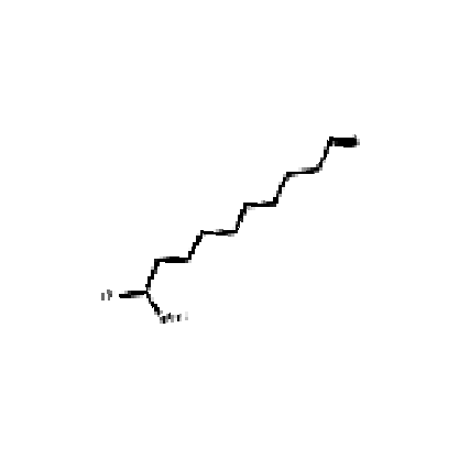 C=CCCCCCCCCC(CCC)CCCCC